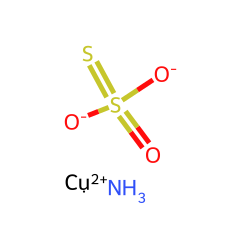 N.O=S([O-])([O-])=S.[Cu+2]